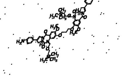 COc1ccc(C2=CN3C(=O)c4cc(OC)c(OCCCOc5cc6c(cc5OC)C(=O)N5C=C(c7ccc(N)cc7)C[C@H]5C(=O)N6COCC[Si](C)(C)C)cc4N(COCC[Si](C)(C)C)C(=O)[C@@H]3C2)cc1